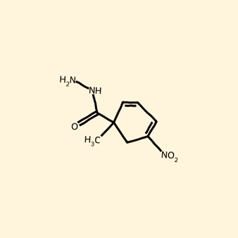 CC1(C(=O)NN)C=CC=C([N+](=O)[O-])C1